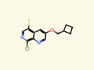 Fc1cnc(Cl)c2ncc(OCC3CCC3)cc12